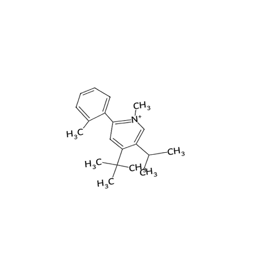 Cc1ccccc1-c1cc(C(C)(C)C)c(C(C)C)c[n+]1C